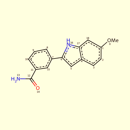 COc1ccc2cc(-c3cccc(C(N)=O)c3)[nH]c2c1